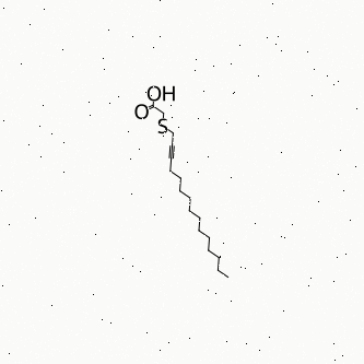 CCCCCCCCCCCCC#CCSCC(=O)O